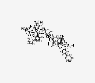 CNC1(C(=O)O[C@H](C)C(=O)N(C)[C@@H](CC(C)(C)F)C(=O)O[C@H](Cc2ccc(C3CCOCC3)cc2)C(=O)N(C)C2(C(=O)O[C@H](C)C(=O)N(C)[C@@H](CC(C)(C)F)C(=O)O[C@H](Cc3ccc(C4=CCOCC4)cc3)C(=O)O)CC2)CC1